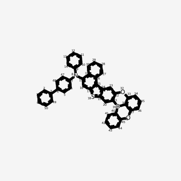 c1ccc(-c2ccc(N(c3ccccc3)c3cc4sc5cc6c(cc5c4c4ccccc34)Oc3cccc4c3B6c3ccccc3O4)cc2)cc1